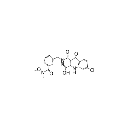 CON(C)C(=O)c1cccc(Cn2nc(O)c3[nH]c4cc(Cl)ccc4c(=O)c3c2=O)c1